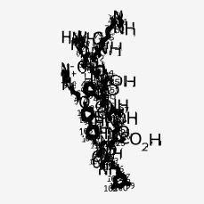 CCc1cc(OCCCCN=[N+]=[N-])ccc1-c1ccc(C[C@H](NC(=O)[C@H](CC(=O)O)NC(=O)[C@H](C)NC(=O)[C@@H](NC(=O)[C@](C)(Cc2ccccc2F)NC(=O)[C@@H](NC(=O)CNC(=O)[C@H](Cc2nn[nH]n2)NC(=O)C(C)(C)NC(=O)CCc2cnc[nH]2)[C@@H](C)O)[C@@H](C)O)C(=O)N[C@@H](CCCc2cc(C)cc(C)c2)C(N)=O)cc1